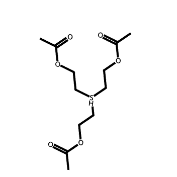 CC(=O)OCC[SH](CCOC(C)=O)CCOC(C)=O